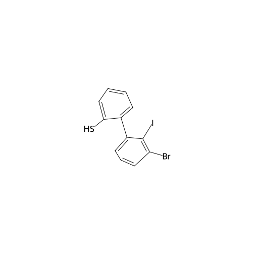 Sc1ccccc1-c1cccc(Br)c1I